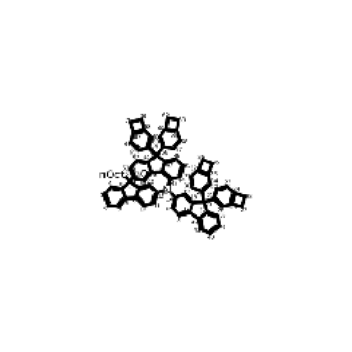 CCCCCCCCC1(CCCCCCCC)c2ccccc2-c2ccc(N(c3ccc4c(c3)C(c3ccc5c(c3)CC5)(c3ccc5c(c3)CC5)c3ccccc3-4)c3cccc4c3-c3ccccc3C4(c3ccc4c(c3)CC4)c3ccc4c(c3)CC4)cc21